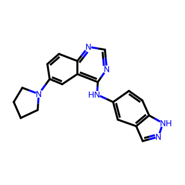 c1nc(Nc2ccc3[nH]ncc3c2)c2cc(N3CCCC3)ccc2n1